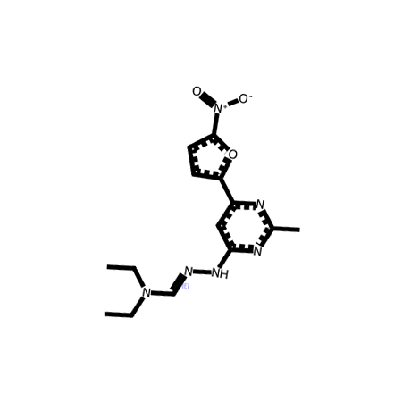 CCN(/C=N/Nc1cc(-c2ccc([N+](=O)[O-])o2)nc(C)n1)CC